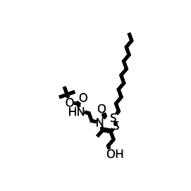 CCCCCCCCCCCCSSC(CCO)=C(C)N(C=O)CCNC(=O)OC(C)(C)C